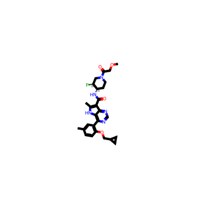 COCC(=O)N1CC[C@H](NC(=O)c2c(C)[nH]c3c(-c4cc(C)ccc4OCC4CC4)ncnc23)[C@@H](F)C1